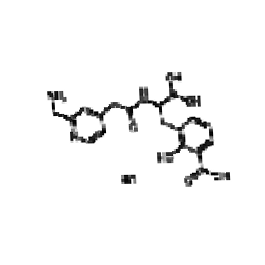 Cl.NCc1cc(CC(=O)NC(Cc2cccc(C(=O)O)c2O)B(O)O)ccn1